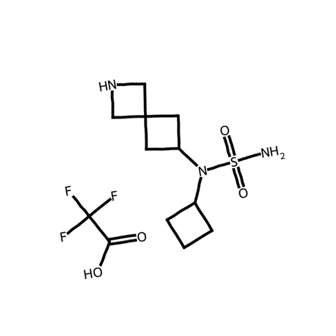 NS(=O)(=O)N(C1CCC1)C1CC2(CNC2)C1.O=C(O)C(F)(F)F